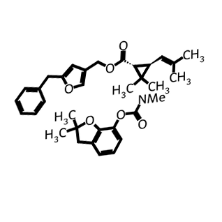 CC(C)=C[C@@H]1[C@@H](C(=O)OCc2coc(Cc3ccccc3)c2)C1(C)C.CNC(=O)Oc1cccc2c1OC(C)(C)C2